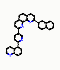 c1ccc2cc(-c3ccc4ccc5ccc(-c6ccc(-c7cccc8ncccc78)nc6)nc5c4n3)ccc2c1